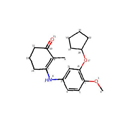 COc1ccc(NC2=C(C)C(=O)CCC2)cc1OC1CCCC1